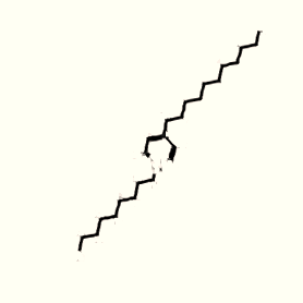 CCCCCCCCCCCc1cc[n+](CCCCCCCCC)cc1